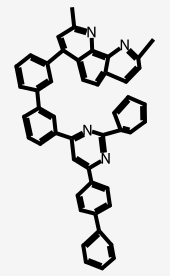 Cc1ccc2ccc3c(-c4cccc(-c5cccc(-c6cc(-c7ccc(-c8ccccc8)cc7)nc(-c7ccccc7)n6)c5)c4)cc(C)nc3c2n1